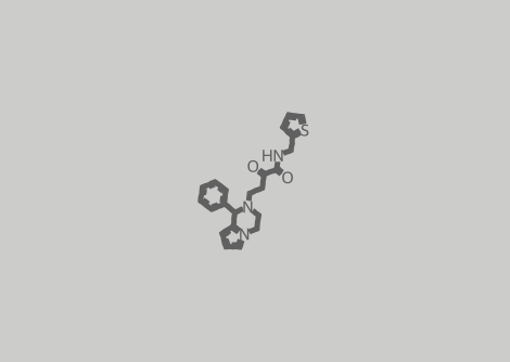 O=C(CCN1CCn2cccc2C1c1ccccc1)C(=O)NCc1cccs1